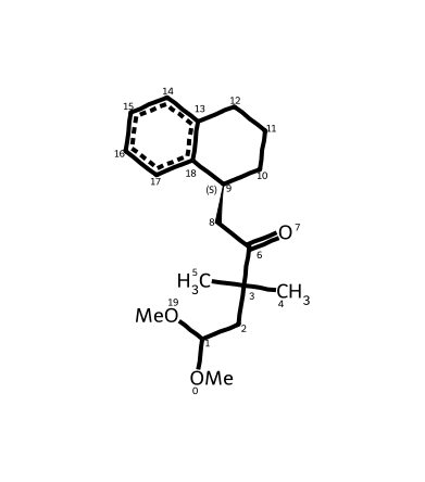 COC(CC(C)(C)C(=O)C[C@@H]1CCCc2ccccc21)OC